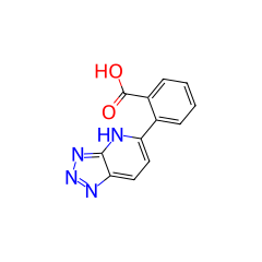 O=C(O)c1ccccc1-c1ccc2nnnc-2[nH]1